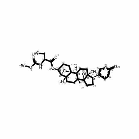 CC(C)C[C@H](NC(=O)OC(C)(C)C)C(=O)O[C@H]1CC[C@@]2(C)[C@H](CC[C@@H]3[C@@H]2CC[C@]2(C)[C@@H](c4ccc(=O)oc4)CC[C@]32O)C1